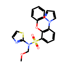 COCN(c1nccs1)S(=O)(=O)c1cccc(-n2cccn2)c1Oc1ccccc1